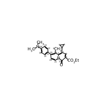 CCOC(=O)c1cc(C2CC2)c2c(C)c(-c3ccc(N(C)C)cc3)ccn2c1=O